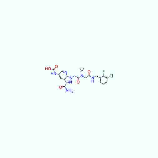 NC(=O)c1nn(CC(=O)N(CC(=O)NCc2cccc(Cl)c2F)C2CC2)c2ncc(NC(=O)O)cc12